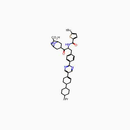 CCCC1CCC(C2CC=C(c3cnc(-c4ccc(CC(NC(=O)c5ccc(C(C)(C)C)s5)C(=O)C5CC6CC(C(=O)O)C(C5)N6)cc4)nc3)CC2)CC1